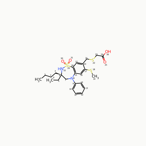 CCCC[C@]1(CC)CN(c2ccccc2)c2cc(SC)c(CSCC(=O)O)cc2S(=O)(=O)N1